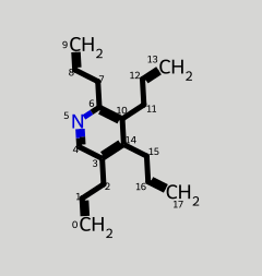 C=CCc1cnc(CC=C)c(CC=C)c1CC=C